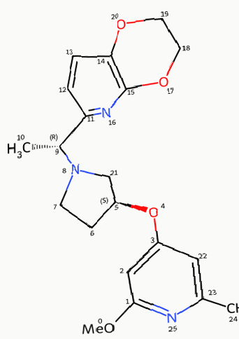 COc1cc(O[C@H]2CCN([C@H](C)c3ccc4c(n3)OCCO4)C2)cc(C)n1